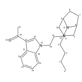 CCCCN1CC2CCC(C1)N2CCCn1cc(C(C)=O)c2ccccc21